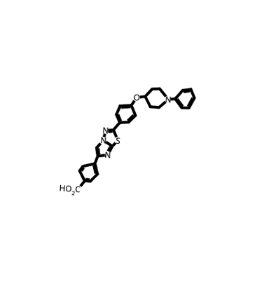 O=C(O)c1ccc(-c2cn3nc(-c4ccc(OC5CCN(c6ccccc6)CC5)cc4)sc3n2)cc1